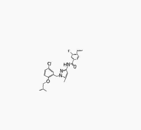 C=Cc1ccc(C(=O)Nc2cc(C)n(Cc3cc(Cl)ccc3OCC(C)C)n2)cc1F